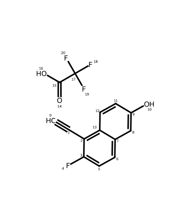 C#Cc1c(F)ccc2cc(O)ccc12.O=C(O)C(F)(F)F